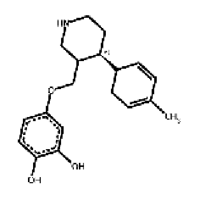 CC1=CCC([C@@H]2CCNCC2COc2ccc(O)c(O)c2)C=C1